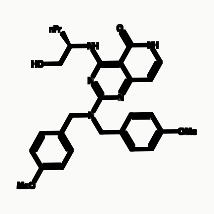 CCC[C@H](CO)Nc1nc(N(Cc2ccc(OC)cc2)Cc2ccc(OC)cc2)nc2cc[nH]c(=O)c12